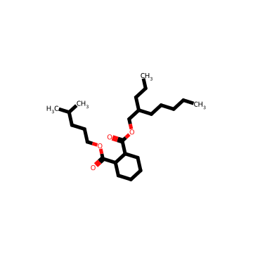 CCCCCC(CCC)COC(=O)C1CCCCC1C(=O)OCCCC(C)C